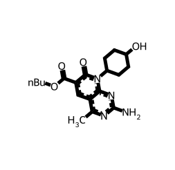 CCCCOC(=O)c1cc2c(C)nc(N)nc2n(C2CCC(O)CC2)c1=O